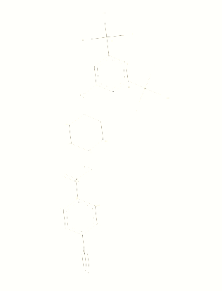 N#Cc1ccc(C(=O)N[C@H]2CC[C@@H](Nc3cc(C(F)(F)F)nc(C(F)(F)F)c3)CC2)cc1